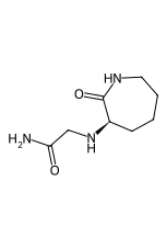 NC(=O)CN[C@@H]1CCCCNC1=O